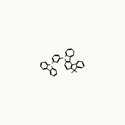 CC1(C)c2ccccc2-c2c1ccc1c2c2c(n1-c1cccc(-n3c4ccccc4c4ccccc43)c1)=CC=CCC=2